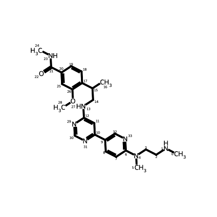 CNCCN(C)c1ccc(-c2cc(NCC(C)c3ccc(C(=O)NC)cc3OC)ncn2)cn1